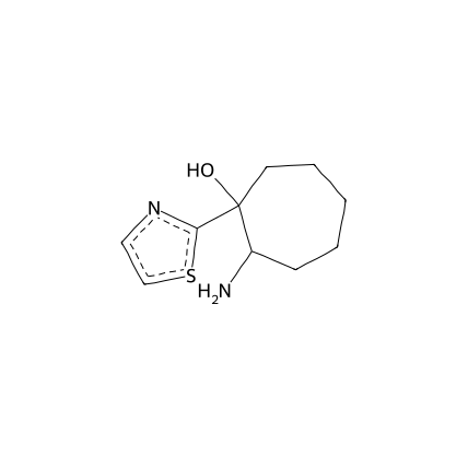 NC1CCCCCC1(O)c1nccs1